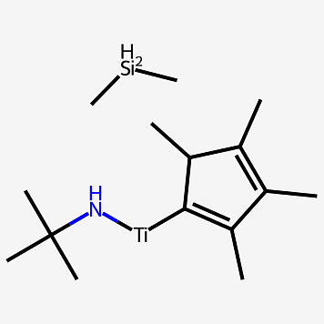 CC1=C(C)C(C)[C]([Ti][NH]C(C)(C)C)=C1C.C[SiH2]C